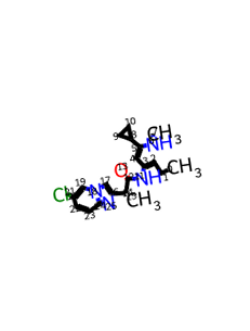 CC/C=C(/C=C(\NC)C1CC1)NC(=O)C(C)c1cn2cc(Cl)ccc2n1